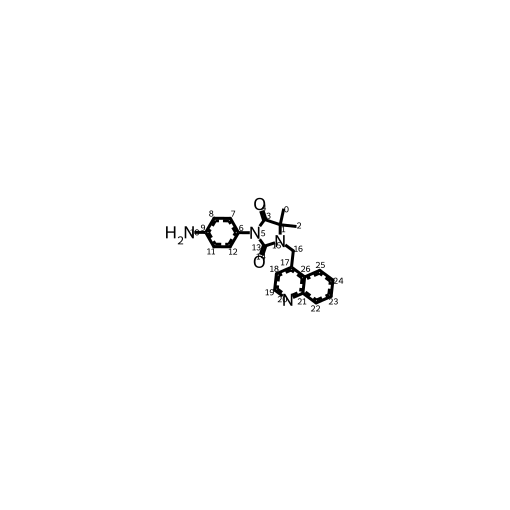 CC1(C)C(=O)N(c2ccc(N)cc2)C(=O)N1Cc1ccnc2ccccc12